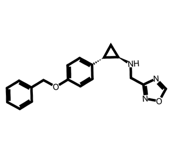 c1ccc(COc2ccc([C@@H]3C[C@H]3NCc3ncon3)cc2)cc1